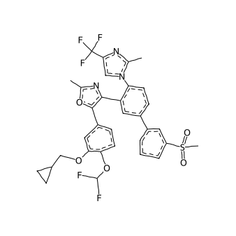 Cc1nc(-c2cc(-c3cccc(S(C)(=O)=O)c3)ccc2-n2cc(C(F)(F)F)nc2C)c(-c2ccc(OC(F)F)c(OCC3CC3)c2)o1